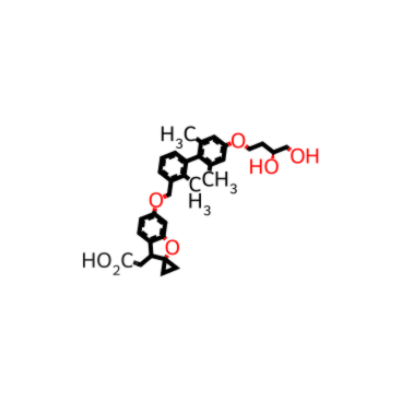 Cc1cc(OCC[C@H](O)CO)cc(C)c1-c1cccc(COc2ccc3c(c2)OC2(CC2)C3CC(=O)O)c1C